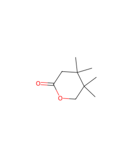 CC1(C)COC(=O)CC1(C)C